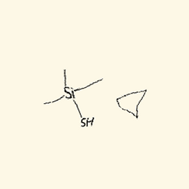 C1CC1.C[Si](C)(C)S